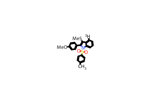 [2H]c1cccc2c1c(SC)c(-c1ccc(OC)cc1)n2S(=O)(=O)c1ccc(C)cc1